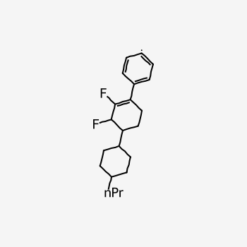 CCCC1CCC(C2CCC(c3cc[c]cc3)=C(F)C2F)CC1